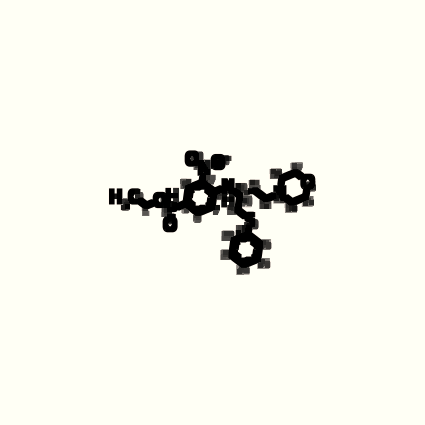 CCO[PH](=O)c1ccc(N[C@H](CCN2CCOCC2)CSc2ccccc2)c([N+](=O)[O-])c1